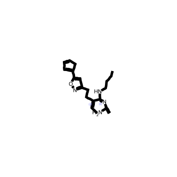 C=C(N)/N=C(NCCCC)\C(=C/C)CCc1cc(C2=CC=CC2)on1